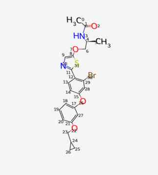 CC(=O)N[C@@H](C)COc1cnc(-c2ccc(Oc3cccc(OCC4CC4)c3)cc2Br)s1